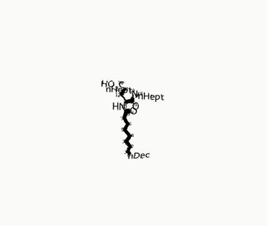 CCCCCCCCCCCCCCCCCC(=O)N[C@@H](CCC(=O)O)C(=O)N(CCCCCCC)CCCCCCC